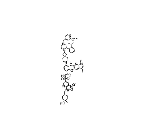 CCOc1cc(CN2CCN(C3CC4(CCN(c5ccc(C(=O)NS(=O)(=O)c6cnc(NCC7CCC(C)(O)CC7)c([N+](=O)[O-])c6)c(Oc6cc7c(F)c[nH]c7nc6OC)c5)CC4)C3)[C@H](c3ccccc3C(C)C)C2)ccn1